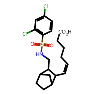 O=C(O)CCC/C=C\C1C2CCC(C2)C1CNS(=O)(=O)c1ccc(Cl)cc1Cl